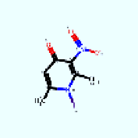 Cc1cc(=O)c([N+](=O)[O-])c(C)n1I